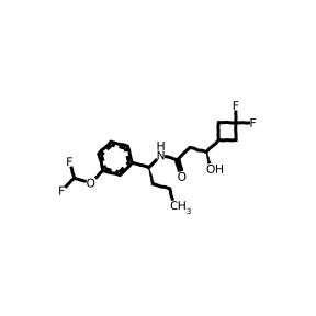 CCC[C@H](NC(=O)C[C@H](O)C1CC(F)(F)C1)c1cccc(OC(F)F)c1